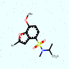 CCCCOc1ccc(S(=O)(=O)N(C)C(C)C(=O)O)c2cc(C(C)=O)oc12